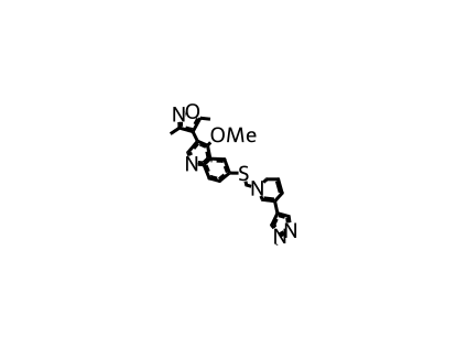 COc1c(-c2c(C)noc2C)cnc2ccc(SCN3C=C(c4cnn(C)c4)C=CC3)cc12